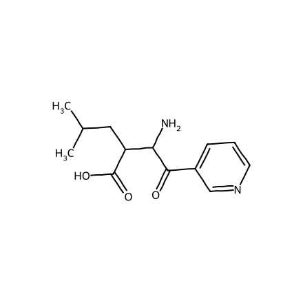 CC(C)CC(C(=O)O)C(N)C(=O)c1cccnc1